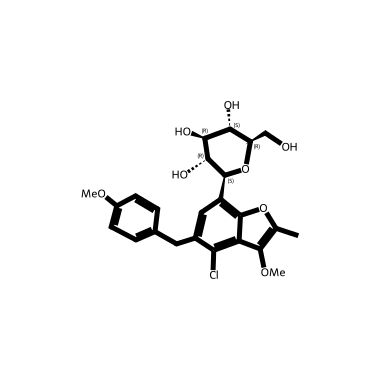 COc1ccc(Cc2cc([C@@H]3O[C@H](CO)[C@@H](O)[C@H](O)[C@H]3O)c3oc(C)c(OC)c3c2Cl)cc1